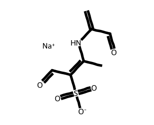 C=C(C=O)NC(C)=C(C=O)S(=O)(=O)[O-].[Na+]